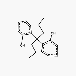 CCCC(CCC)(c1ccccc1O)c1ccccc1O